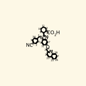 N#Cc1ccc(Cn2c(C3CCCC[C@H]3C(=O)O)nc3cc(OCc4ccc5ccccc5n4)ccc32)cc1